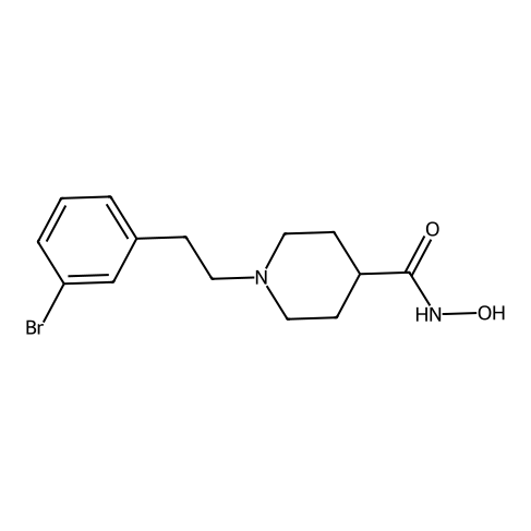 O=C(NO)C1CCN(CCc2cccc(Br)c2)CC1